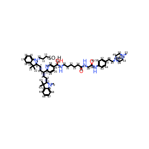 CN1/C(=C/C=C(/C=C/C2=[N+](CCCS(=O)(=O)O)c3ccccc3C2(C)C)c2ccc(C(O)NCCCCCC(=O)NCC(=O)Nc3ccc(CC[N+]45CC[N+](C)(CC4)CC5)cc3)cn2)C(C)(C)c2ccccc21